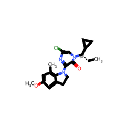 CC[C@@H](C1CC1)n1cc(Cl)nc(N2CCc3cc(OC)cc(C)c32)c1=O